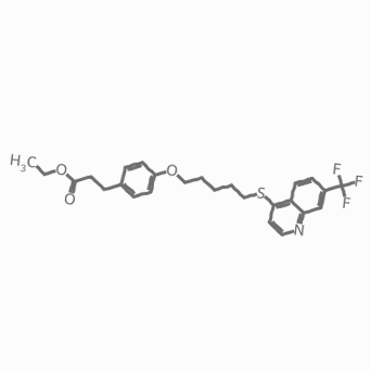 CCOC(=O)CCc1ccc(OCCCCCSc2ccnc3cc(C(F)(F)F)ccc23)cc1